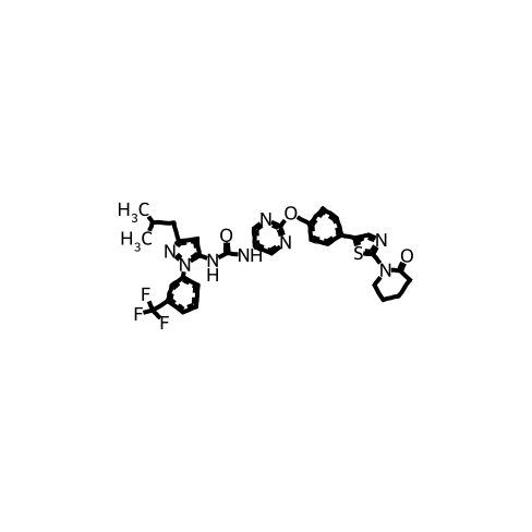 CC(C)Cc1cc(NC(=O)Nc2cnc(Oc3ccc(-c4cnc(N5CCCCC5=O)s4)cc3)nc2)n(-c2cccc(C(F)(F)F)c2)n1